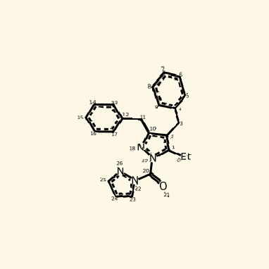 CCc1c(Cc2ccccc2)c(Cc2ccccc2)nn1C(=O)n1cccn1